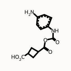 Nc1ccc(NC(=O)OC(=O)C2CC(C(=O)O)C2)cc1